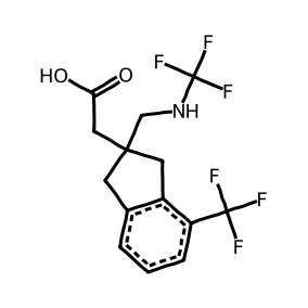 O=C(O)CC1(CNC(F)(F)F)Cc2cccc(C(F)(F)F)c2C1